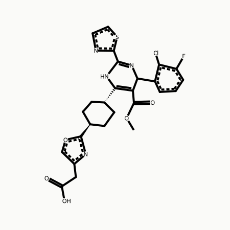 COC(=O)C1=C([C@H]2CC[C@H](c3nc(CC(=O)O)co3)CC2)NC(c2nccs2)=NC1c1cccc(F)c1Cl